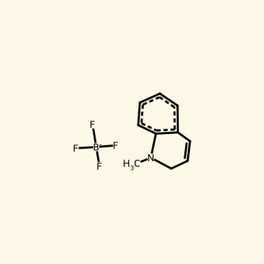 CN1CC=Cc2ccccc21.F[B-](F)(F)F